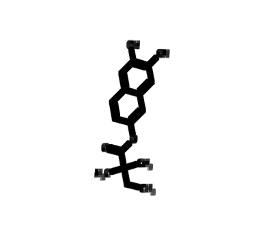 CCC(C)(C)C(=O)Oc1ccc2cc(O)c(O)cc2c1